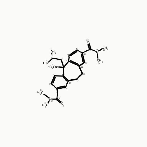 C[C@@H](N)CC1(C(=O)O)c2ccc(C(=O)N(C)C)cc2CCc2cc(C(=O)N(C)C)ccc21